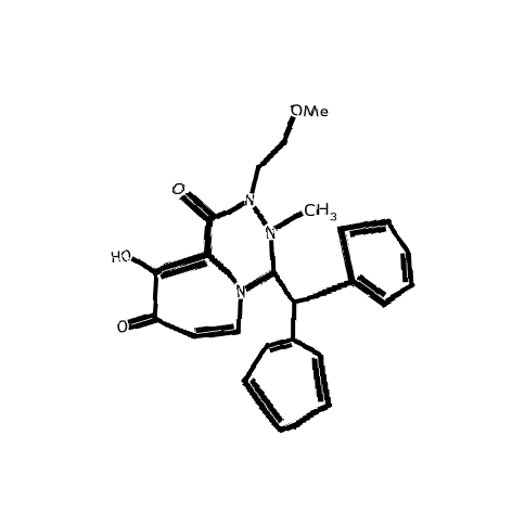 COCCN1C(=O)c2c(O)c(=O)ccn2C(C(c2ccccc2)c2ccccc2)N1C